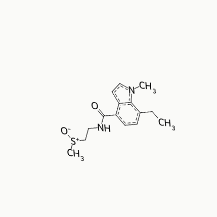 CCc1ccc(C(=O)NCC[S+](C)[O-])c2ccn(C)c12